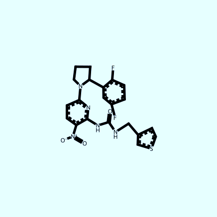 O=C(NCc1ccsc1)Nc1nc(N2CCCC2c2cc(F)ccc2F)ccc1[N+](=O)[O-]